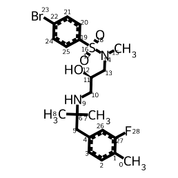 Cc1ccc(CC(C)(C)NC[C@@H](O)CN(C)S(=O)(=O)c2ccc(Br)cc2)cc1F